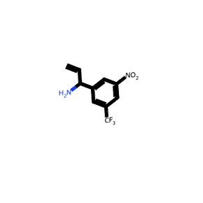 C=CC(N)c1cc([N+](=O)[O-])cc(C(F)(F)F)c1